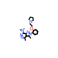 Cc1nnc(N(C)C)c2nn(-c3ccccc3OCCN3CCCC3)c(C)c12